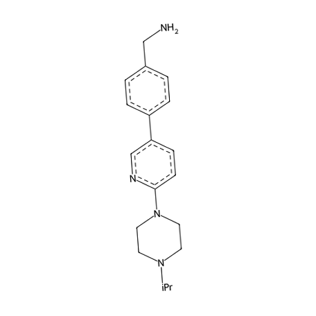 CC(C)N1CCN(c2ccc(-c3ccc(CN)cc3)cn2)CC1